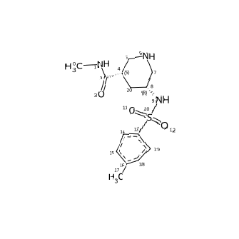 CNC(=O)[C@@H]1CNC[C@H](NS(=O)(=O)c2ccc(C)cc2)C1